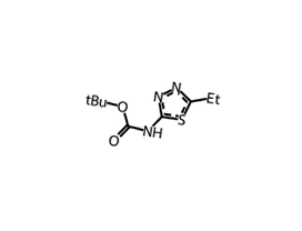 CCc1nnc(NC(=O)OC(C)(C)C)s1